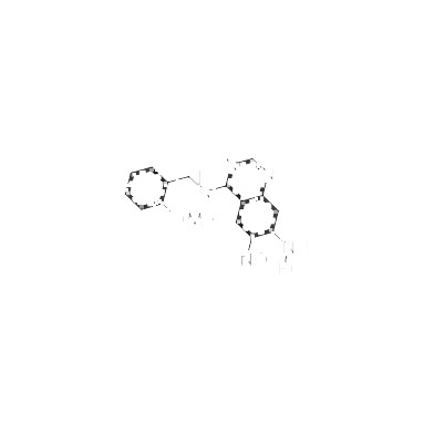 CCNc1cc2ncnc(NCc3ccccc3OC)c2cc1[N+](=O)[O-]